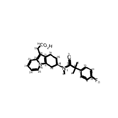 CN(C(=O)C(C)(C)c1ccc(F)cc1)[C@@H]1CCc2c(CC(=O)O)c3ccccn3c2C1